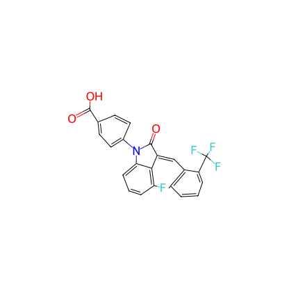 Cc1cccc(C(F)(F)F)c1/C=C1/C(=O)N(c2ccc(C(=O)O)cc2)c2cccc(F)c21